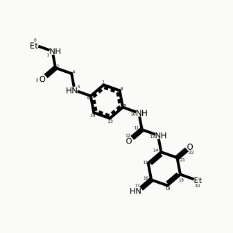 CCNC(=O)CNc1ccc(NC(=O)NC2=CC(=N)C=C(CC)C2=O)cc1